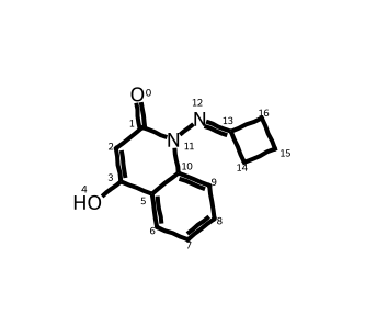 O=c1cc(O)c2ccccc2n1N=C1CCC1